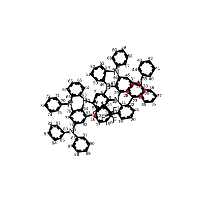 FC(F)(F)c1c2c(cc3c1N(c1c(-c4ccccc4)cccc1-c1ccccc1)c1cc(N(c4ccccc4)c4ccccc4)cc4c1B3c1ccccc1N4c1ccccc1)B1c3ccccc3N(c3ccccc3)c3cc(N(c4ccccc4)c4ccccc4)cc(c31)S2